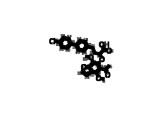 COc1c(C(C)=O)c(OC(CCc2ccc(-c3ccc(Cl)cc3)cc2)C(=O)O)c(OC)c2occc12